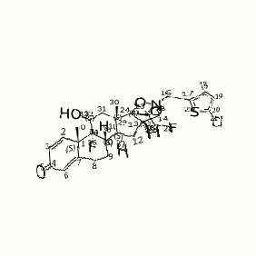 C[C@]12C=CC(=O)C=C1CC[C@H]1[C@@H]3C[C@H]4CN(Cc5ccc(Cl)s5)O[C@@]4(C(=O)CF)[C@@]3(C)C[C@H](O)[C@@]12F